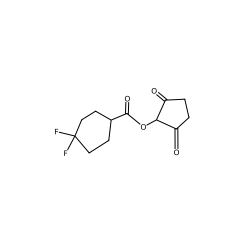 O=C(OC1C(=O)CCC1=O)C1CCC(F)(F)CC1